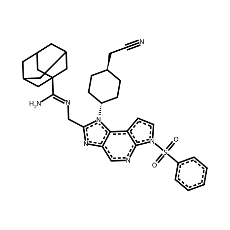 N#CC[C@H]1CC[C@H](n2c(CN=C(N)C34CC5CC(CC(C5)C3)C4)nc3cnc4c(ccn4S(=O)(=O)c4ccccc4)c32)CC1